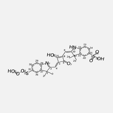 CC1(C)C(/C=C2/C(=O)C(/C=C3/Nc4ccc(S(=O)(=O)O)cc4C3(C)C)=C2O)=Nc2ccc(SOOO)cc21